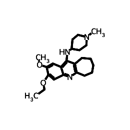 CCOc1cc2nc3c(c(NC4CCN(C)CC4)c2cc1OC)CCCCC3